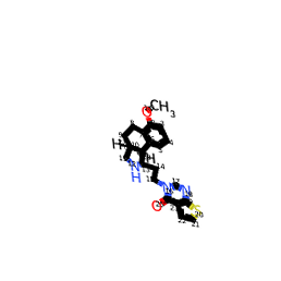 COc1cccc2c1CC[C@H]1CNC(CCn3cnc4sccc4c3=O)[C@@H]21